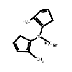 CC1=[C]([Ti+]([CH3])[C]2=C(C)C=CC2)CC=C1.[Br-]